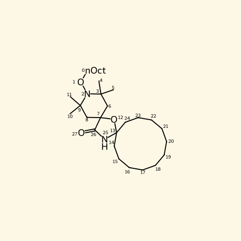 CCCCCCCCON1C(C)(C)CC2(CC1(C)C)OC1(CCCCCCCCCCC1)NC2=O